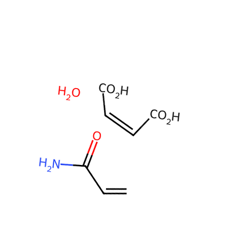 C=CC(N)=O.O.O=C(O)/C=C\C(=O)O